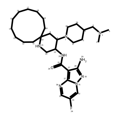 CN(C)CC1CCN(C2CC3(CCCCCCCCCC3)NCC2NC(=O)c2c(N)nn3cc(F)cnc23)CC1